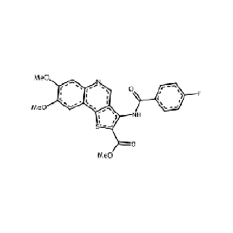 COC(=O)c1sc2c(cnc3cc(OC)c(OC)cc32)c1NC(=O)c1ccc(F)cc1